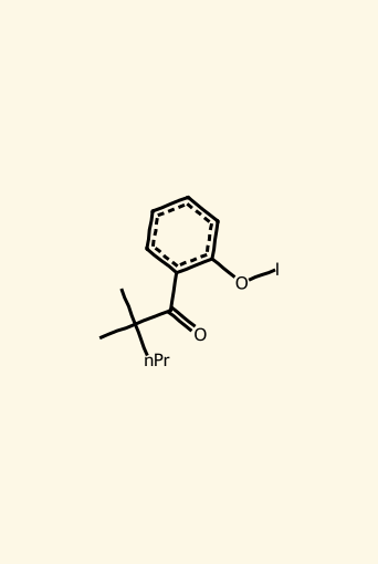 CCCC(C)(C)C(=O)c1ccccc1OI